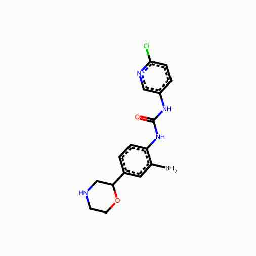 Bc1cc(C2CNCCO2)ccc1NC(=O)Nc1ccc(Cl)nc1